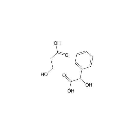 O=C(O)C(O)c1ccccc1.O=C(O)CCO